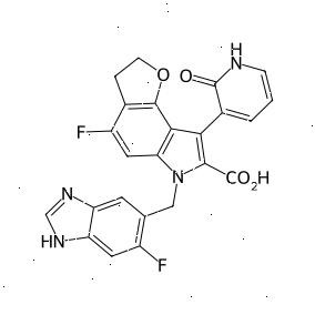 O=C(O)c1c(-c2ccc[nH]c2=O)c2c3c(c(F)cc2n1Cc1cc2nc[nH]c2cc1F)CCO3